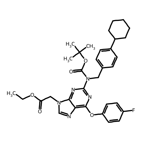 CCOC(=O)Cn1cnc2c(Oc3ccc(F)cc3)nc(N(Cc3ccc(C4CCCCC4)cc3)C(=O)OC(C)(C)C)nc21